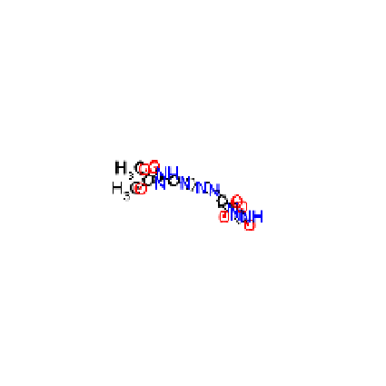 COc1cc(OC)c2c(=O)[nH]c(-c3ccc(N4CCC(N5CCN(Cc6ccc7c(c6)C(=O)N(N6CCC(=O)NC6=O)C7=O)CC5)CC4)cc3)nc2c1